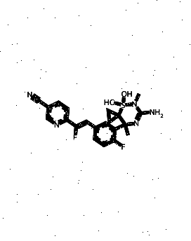 CN1C(N)=NC(C)(c2cc(C=C(F)c3ccc(C#N)cn3)ccc2F)C2(CC2)S1(O)O